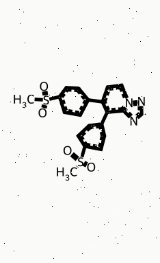 CS(=O)(=O)c1ccc(-c2ccn3n[c]nc3c2-c2ccc(S(C)(=O)=O)cc2)cc1